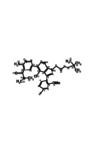 COc1cc(F)ccc1-c1cn(COCC[Si](C)(C)C)c2ncc(-c3cnc(N)c(C(=O)N(C)C)c3)c(Cl)c12